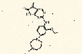 CCOc1cc(N2CCCN(C)CC2)ccc1Nc1ncc2c(n1)[nH]c(=O)n2C